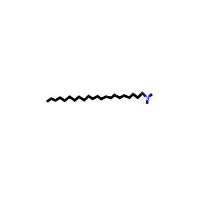 [CH2]CCCCCCCCCCCCCCCCCCCCCN(C)C